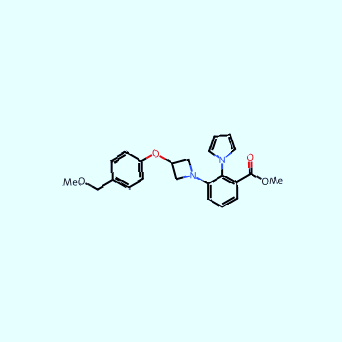 COCc1ccc(OC2CN(c3cccc(C(=O)OC)c3-n3cccc3)C2)cc1